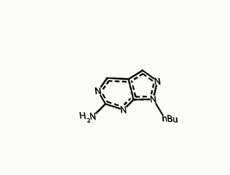 CCCCn1ncc2cnc(N)nc21